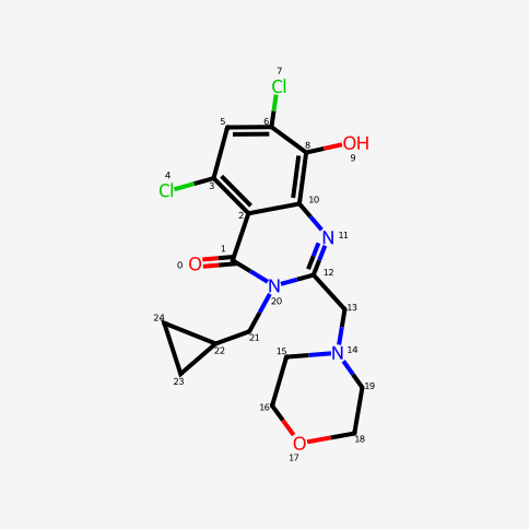 O=c1c2c(Cl)cc(Cl)c(O)c2nc(CN2CCOCC2)n1CC1CC1